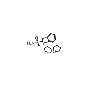 C1CCOC1.C1CCOC1.NS(=O)(=O)C1Oc2ccccc2O1